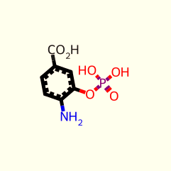 Nc1ccc(C(=O)O)cc1OP(=O)(O)O